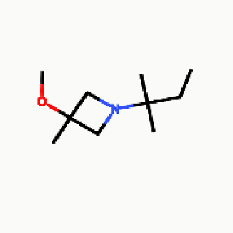 CCC(C)(C)N1CC(C)(OC)C1